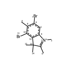 CC1=[N+](C)c2cc(Br)c(C)c(Br)c2C1(C)C